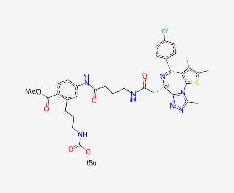 COC(=O)c1ccc(NC(=O)CCCNC(=O)C[C@@H]2N=C(c3ccc(Cl)cc3)c3c(sc(C)c3C)-n3c(C)nnc32)cc1CCCNC(=O)OC(C)(C)C